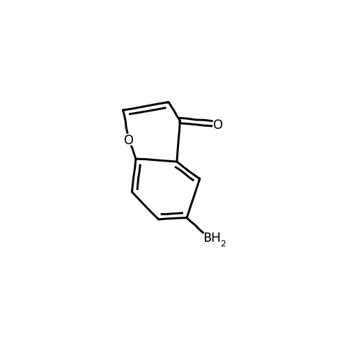 Bc1ccc2occc(=O)c2c1